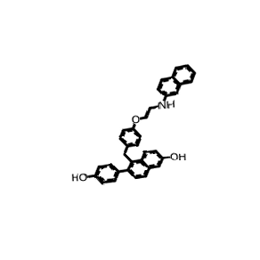 Oc1ccc(-c2ccc3cc(O)ccc3c2Cc2ccc(OCCNc3ccc4ccccc4c3)cc2)cc1